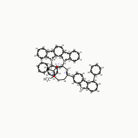 C/C1=C(c2ccccc2)/N=C(n2c3ccccc3c3ccc4c5ccccc5n(-c5ccccc5)c4c32)\N=C(\c2ccc3c(c2)oc2cccc(-c4ccccc4)c23)CC1